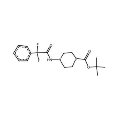 CC(C)(C)OC(=O)N1CCN(NC(=O)C(F)(F)c2ccccc2)CC1